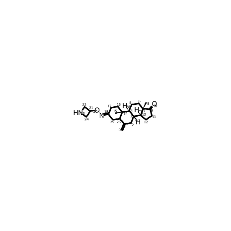 C=C1C[C@@H]2[C@H](CC[C@]3(C)C(=O)CC[C@@H]23)[C@@]2(C)CC/C(=N\OC3CNC3)CC12